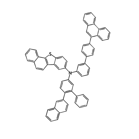 c1ccc(-c2cc(N(c3cccc(-c4ccc(-c5cc6ccccc6c6ccccc56)cc4)c3)c3ccc4sc5c6ccccc6ccc5c4c3)ccc2-c2ccc3ccccc3c2)cc1